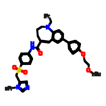 CCCCOCCOc1ccc(-c2ccc3c(c2)C=C(C(=O)Nc2ccc(S(=O)(=O)Cc4cncn4CCC)cc2)CCCN3CC(C)C)cc1